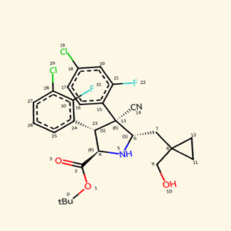 CC(C)(C)OC(=O)[C@@H]1N[C@@H](CC2(CO)CC2)[C@](C#N)(c2ccc(Cl)cc2F)[C@H]1c1cccc(Cl)c1F